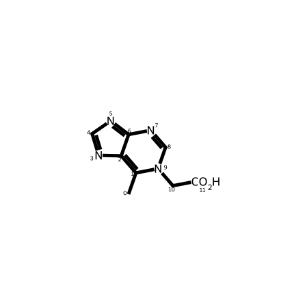 Cc1c2ncnc-2ncn1CC(=O)O